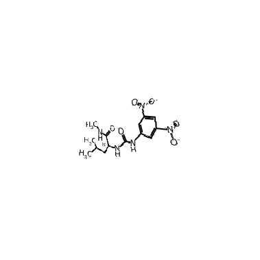 CNC(=O)[C@H](CC(C)C)NC(=O)Nc1cc([N+](=O)[O-])cc([N+](=O)[O-])c1